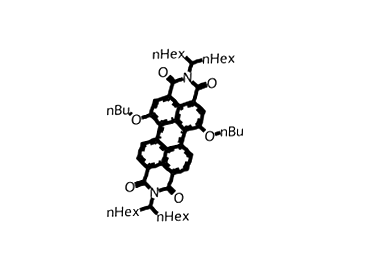 CCCCCCC(CCCCCC)N1C(=O)c2ccc3c4c(OCCCC)cc5c6c(cc(OCCCC)c(c7ccc(c2c37)C1=O)c64)C(=O)N(C(CCCCCC)CCCCCC)C5=O